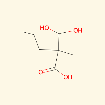 CCCC(C)(C(=O)O)C(O)O